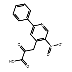 O=C(O)C(=O)Cc1cc(-c2ccccc2)ncc1[N+](=O)[O-]